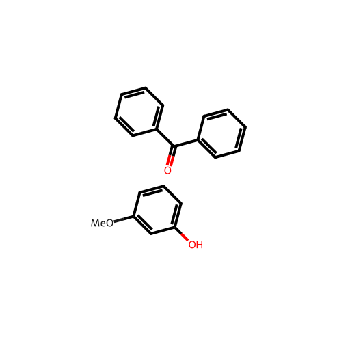 COc1cccc(O)c1.O=C(c1ccccc1)c1ccccc1